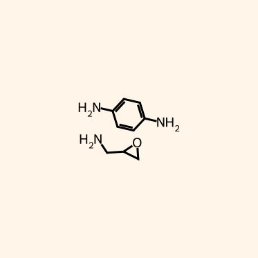 NCC1CO1.Nc1ccc(N)cc1